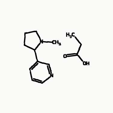 CCC(=O)O.CN1CCCC1c1cccnc1